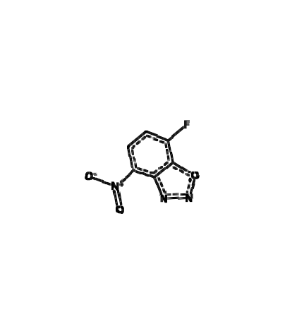 O=[N+]([O-])c1ccc(F)c2onnc12